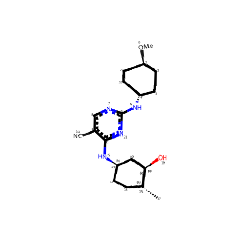 CO[C@H]1CC[C@H](Nc2ncc(C#N)c(N[C@@H]3CC[C@@H](C)[C@H](O)C3)n2)CC1